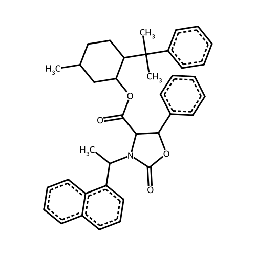 CC1CCC(C(C)(C)c2ccccc2)C(OC(=O)C2C(c3ccccc3)OC(=O)N2C(C)c2cccc3ccccc23)C1